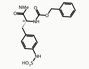 CNC(=O)[C@@H](Cc1ccc(NS(=O)(=O)O)cc1)NC(=O)OCc1ccccc1